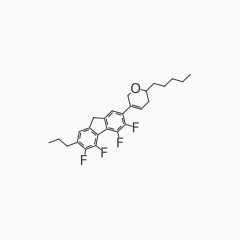 CCCCCC1CC=C(c2cc3c(c(F)c2F)-c2c(cc(CCC)c(F)c2F)C3)CO1